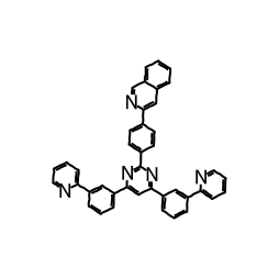 c1ccc(-c2cccc(-c3cc(-c4cccc(-c5ccccn5)c4)nc(-c4ccc(-c5cc6ccccc6cn5)cc4)n3)c2)nc1